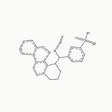 CCS(=O)(=O)c1cccc(C(N=[N+]=[N-])C2CCCc3ccc4c(ccc5ccccc54)c32)c1